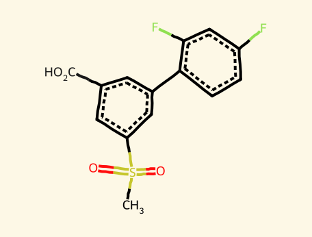 CS(=O)(=O)c1cc(C(=O)O)cc(-c2ccc(F)cc2F)c1